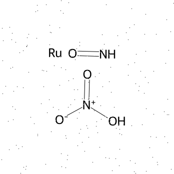 N=O.O=[N+]([O-])O.[Ru]